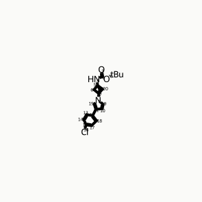 CC(C)(C)OC(=O)NC12CC(n3ccc(-c4ccc(Cl)cc4)c3)(C1)C2